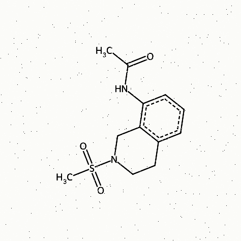 CC(=O)Nc1cccc2c1CN(S(C)(=O)=O)CC2